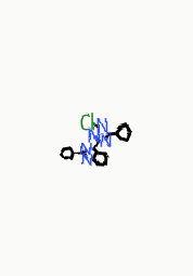 Clc1nc(-c2ccccc2)nc(-c2nc(-c3ccccc3)nc3ccccc23)n1